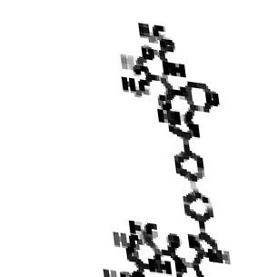 COC(=O)N[C@H](C(=O)N1CC=CC1c1nc(-c2ccc(-c3ccc(-c4c[nH]c([C@@H]5COCCN5C(=O)[C@@H](NC(=O)OC)C(C)C)n4)cc3)cc2)c[nH]1)C(C)C